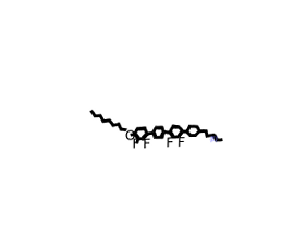 C/C=C/CCC1CCC(c2ccc(-c3ccc(-c4ccc(OCCCCCCCCC)c(F)c4F)cc3)c(F)c2F)CC1